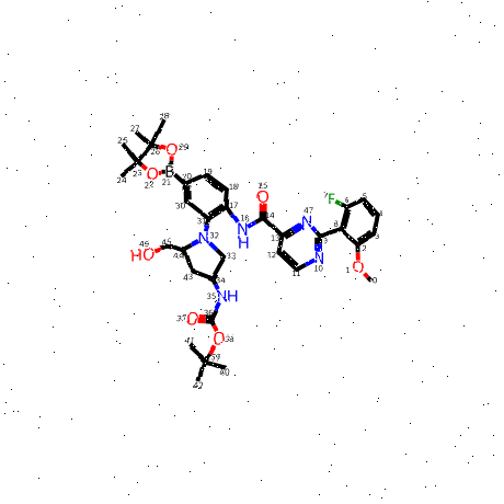 COc1cccc(F)c1-c1nccc(C(=O)Nc2ccc(B3OC(C)(C)C(C)(C)O3)cc2N2CC(NC(=O)OC(C)(C)C)CC2CO)n1